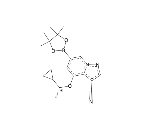 C[C@@H](Oc1cc(B2OC(C)(C)C(C)(C)O2)cn2ncc(C#N)c12)C1CC1